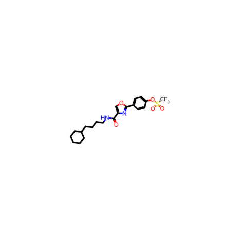 O=C(NCCCCC1CCCCC1)c1coc(-c2ccc(OS(=O)(=O)C(F)(F)F)cc2)n1